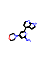 Nc1cc(N2CCOCC2)cc(-c2ccnc3[nH]ccc23)n1